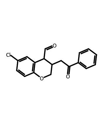 O=CC1c2cc(Cl)ccc2OCC1CC(=O)c1ccccc1